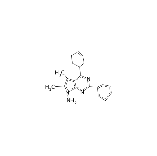 Cc1c(C)n(N)c2nc(-c3ccccc3)nc(C3CC=CCC3)c12